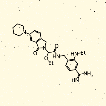 CCNc1cc(C(=N)N)ccc1CNC(=O)C(OCC)N1Cc2ccc(N3CCCCC3)cc2C1=O